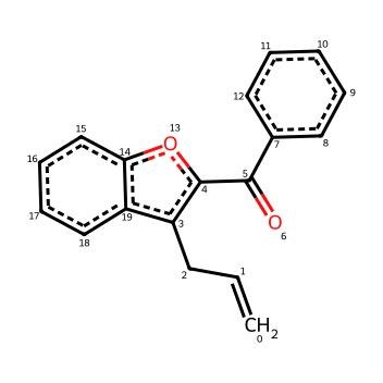 C=CCc1c(C(=O)c2ccccc2)oc2ccccc12